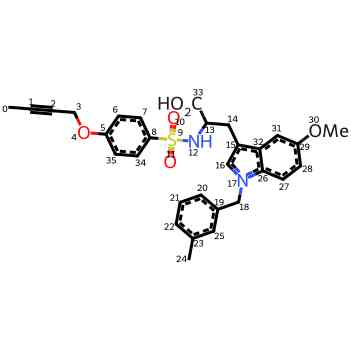 CC#CCOc1ccc(S(=O)(=O)NC(Cc2cn(Cc3cccc(C)c3)c3ccc(OC)cc23)C(=O)O)cc1